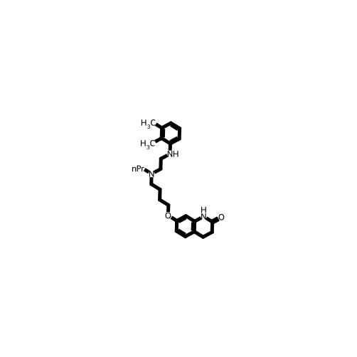 CCCN(CCCCOc1ccc2c(c1)NC(=O)CC2)CCNc1cccc(C)c1C